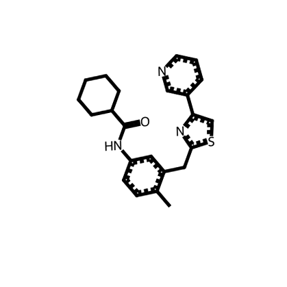 Cc1ccc(NC(=O)C2CCCCC2)cc1Cc1nc(-c2cccnc2)cs1